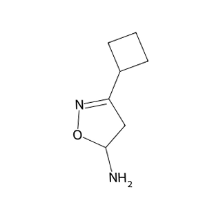 NC1CC(C2CCC2)=NO1